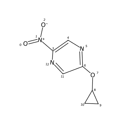 O=[N+]([O-])c1cnc(OC2CC2)cn1